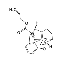 C=CCOC(=O)N1CC[C@]23c4c5cccc4O[C@H]2C2CCC3(CC2C(C)=O)[C@H]1C5